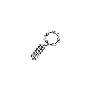 FC(F)(F)C(F)(F)C(F)(F)C(F)(F)C(F)(F)C(F)(F)CCN1COCCOCCOCCOCCO1